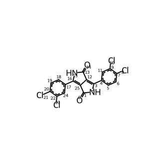 O=C1NC(c2ccc(Cl)c(Cl)c2)=C2C(=O)NC(c3ccc(Cl)c(Cl)c3)=C12